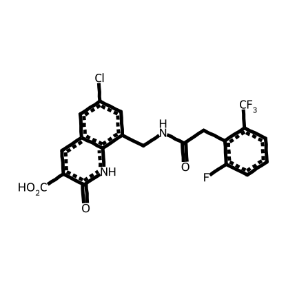 O=C(Cc1c(F)cccc1C(F)(F)F)NCc1cc(Cl)cc2cc(C(=O)O)c(=O)[nH]c12